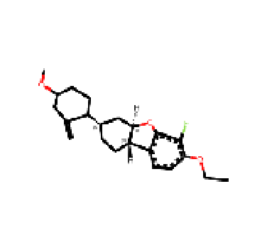 C=C1CC(OC)CCC1[C@@H]1CC[C@H]2c3ccc(OCC)c(F)c3O[C@@H]2C1